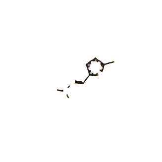 Cc1ccc(C=N[S+]([O-])C(C)(C)C)o1